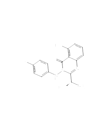 C[C@H](N)c1nc2cccc(C(F)(F)F)c2c(=O)n1Nc1ccc(F)cc1